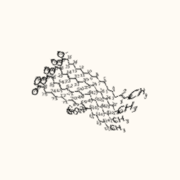 CCCCCCCCCCCCCCCCCC(=O)[O-].CCCCCCCCCCCCCCCCCC(=O)[O-].CCCCCCCCCCCCCCCCCC(=O)[O-].CCCCCCCCCCCCCCCCCC(=O)[O-].[Co+2].[Co+2]